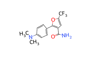 CN(C)c1ccc(-c2oc(C(F)(F)F)cc2C(N)=O)cc1